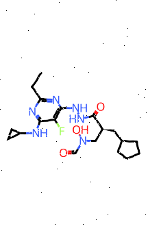 CCc1nc(NNC(=O)[C@@H](CC2CCCC2)CN(O)C=O)c(F)c(NC2CC2)n1